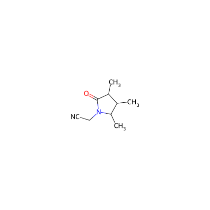 CC1C(=O)N(CC#N)C(C)C1C